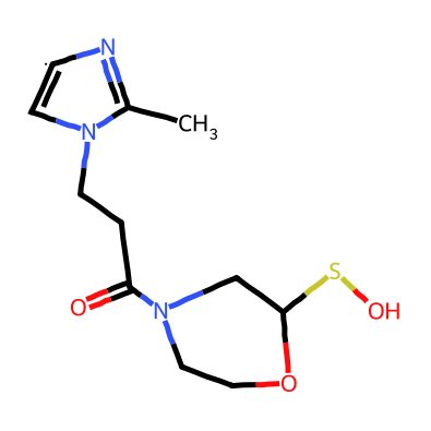 Cc1n[c]cn1CCC(=O)N1CCOC(SO)C1